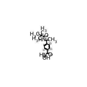 CC(NC(=O)C(C)(C)C)c1ccc(C(=O)NO)cc1